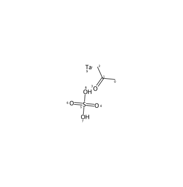 CC(C)=O.O=S(=O)(O)O.[Ta]